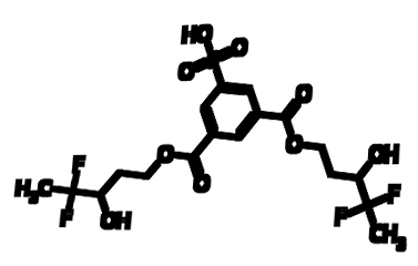 CC(F)(F)C(O)CCOC(=O)c1cc(C(=O)OCCC(O)C(C)(F)F)cc(S(=O)(=O)O)c1